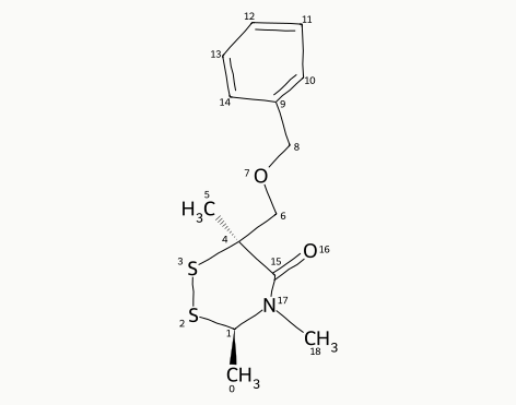 C[C@H]1SS[C@@](C)(COCc2ccccc2)C(=O)N1C